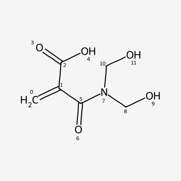 C=C(C(=O)O)C(=O)N(CO)CO